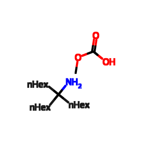 CCCCCCC(N)(CCCCCC)CCCCCC.COC(=O)O